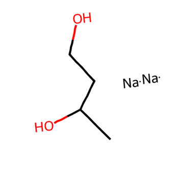 CC(O)CCO.[Na].[Na]